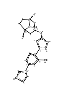 CN1[C@@H]2CC[C@H]1CC(Oc1nnc(-c3ccc(-n4ccnc4)cc3O)s1)C2